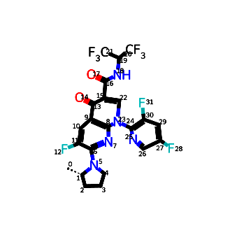 C[C@H]1CCCN1c1nc2c(cc1F)c(=O)c(C(=O)NC(C(F)(F)F)C(F)(F)F)cn2-c1ncc(F)cc1F